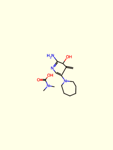 C=C1C(N2CCCCCC2)=CN=C(N)C1O.CN(C)C(=O)O